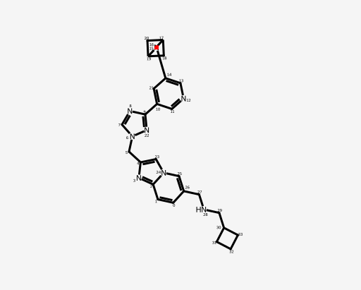 c1cc2nc(Cn3cnc(-c4cncc(N5CC6CC5C6)c4)n3)cn2cc1CNCC1CCC1